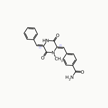 Cn1c(=O)/c(=C/c2ccccc2)[nH]c(=O)/c1=C/c1ccc(C(N)=O)cc1